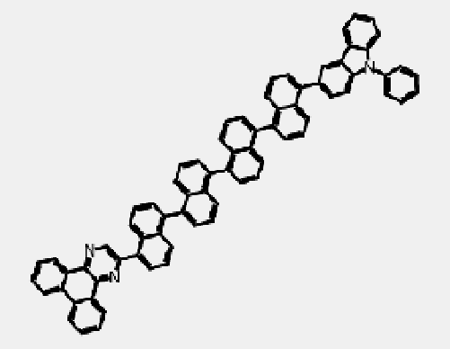 c1ccc(-n2c3ccccc3c3cc(-c4cccc5c(-c6cccc7c(-c8cccc9c(-c%10cccc%11c(-c%12cnc%13c%14ccccc%14c%14ccccc%14c%13n%12)cccc%10%11)cccc89)cccc67)cccc45)ccc32)cc1